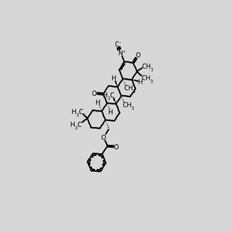 [C-]#[N+]C1=C[C@]2(C)[C@H]3CC(=O)[C@@H]4[C@@H]5CC(C)(C)CC[C@]5(COC(=O)c5ccccc5)CC[C@@]4(C)[C@]3(C)CC[C@H]2C(C)(C)C1=O